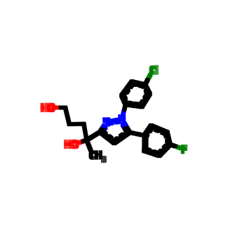 CC(O)(CCCO)c1cc(-c2ccc(F)cc2)n(-c2ccc(Cl)cc2)n1